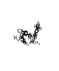 COC(C)CCOc1nn(C2CCC(N3[C@@H]4CC[C@H]3COC4)CC2)cc1Nc1ncc(-c2ccc(Cl)c(OC(C)Cn3cncn3)c2)cn1